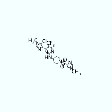 Cn1cnc(S(=O)(=O)N2CCC(Nc3ncc(C(F)(F)F)c(-c4ncn(C)c4Cl)n3)CC2)c1